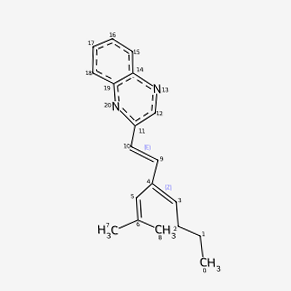 CCC/C=C(C=C(C)C)/C=C/c1cnc2ccccc2n1